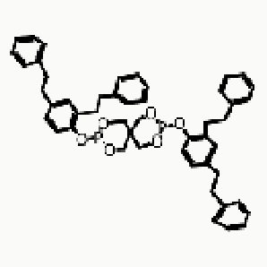 c1ccc(CCc2ccc(OP3OCC4(CO3)COP(Oc3ccc(CCc5ccccc5)cc3CCc3ccccc3)OC4)c(CCc3ccccc3)c2)cc1